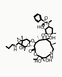 CCCNC[C@]1(O)[C@H](C)O[C@@H](O[C@H]2[C@H](C)[C@@H](O[C@@H]3O[C@H](C)C[C@H](N(C)S(=O)(=O)c4ccccc4)[C@H]3O)[C@](C)(O)C[C@@H](C)CN[C@H](C)[C@@H](O)[C@](C)(O)[C@@H](CC)OC(=O)[C@@H]2C)C[C@@]1(C)OC